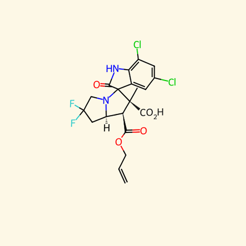 C=CCOC(=O)[C@H]1[C@H]2CC(F)(F)CN2C2(C(=O)Nc3c(Cl)cc(Cl)cc32)[C@@]1(C)C(=O)O